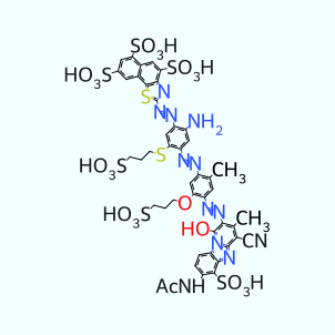 CC(=O)Nc1ccc2c(nc3c(C#N)c(C)c(N=Nc4cc(C)c(N=Nc5cc(N)c(N=Nc6nc7c(S(=O)(=O)O)cc8c(S(=O)(=O)O)cc(S(=O)(=O)O)cc8c7s6)cc5SCCCS(=O)(=O)O)cc4OCCCS(=O)(=O)O)c(O)n32)c1S(=O)(=O)O